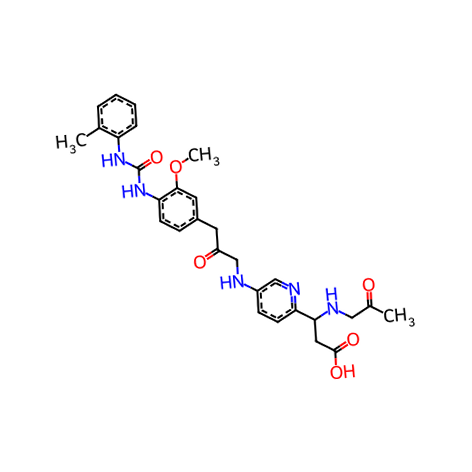 COc1cc(CC(=O)CNc2ccc(C(CC(=O)O)NCC(C)=O)nc2)ccc1NC(=O)Nc1ccccc1C